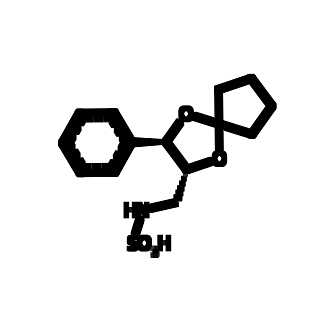 O=S(=O)(O)NC[C@H]1OC2(CCCC2)O[C@@H]1c1ccccc1